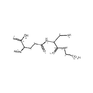 CNC(CCC(=O)NC(CS)C(=O)NCC(=O)O)C(O)=[Se]